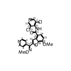 CON=C(c1ccncc1)c1cc2c(C(=O)Nc3c(Cl)cncc3Cl)ccc(OC)c2o1